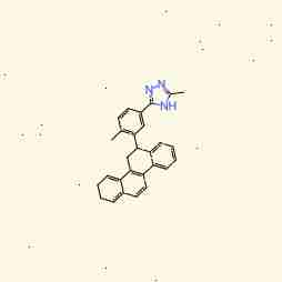 Cc1nnc(-c2ccc(C)c(C3Cc4c(ccc5c4=CCCC=5)-c4ccccc43)c2)[nH]1